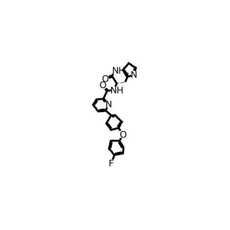 NC(=O)[C@H](CC1=CCC=N1)NC(=O)c1cccc(-c2ccc(Oc3ccc(F)cc3)cc2)n1